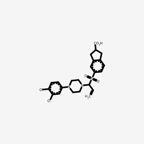 C=CC(N1CCN(c2ccc(Cl)c(Cl)c2)CC1)S(=O)(=O)c1ccc2c(c1)CC(C(=O)O)C2